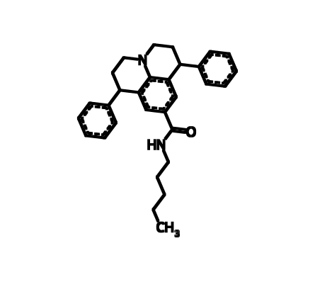 CCCCCNC(=O)c1cc2c3c(c1)C(c1ccccc1)CCN3CCC2c1ccccc1